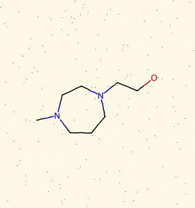 CN1CCCN(CC[O])CC1